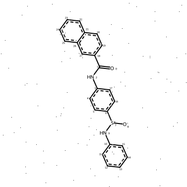 O=C(Nc1ccc([S+]([O-])Nc2ccccc2)cc1)c1ccc2ccccc2c1